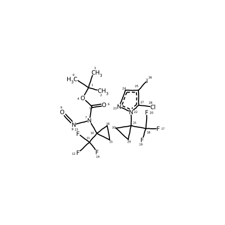 CC(C)(C)OC(=O)N(N=O)C1(C(F)(F)F)CC1.FC(F)(F)C1(n2ncc(I)c2Cl)CC1